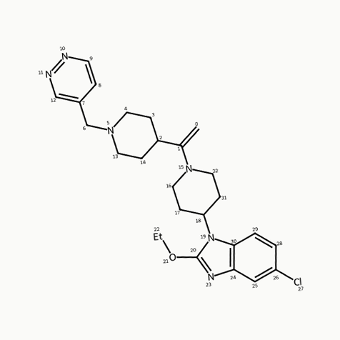 C=C(C1CCN(Cc2ccnnc2)CC1)N1CCC(n2c(OCC)nc3cc(Cl)ccc32)CC1